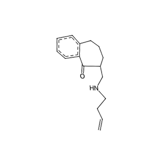 C=CCCNCC1CCCc2ccccc2C1=O